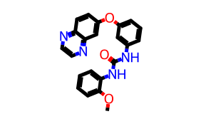 COc1ccccc1NC(=O)Nc1cccc(Oc2ccc3nccnc3c2)c1